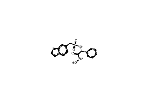 O=C(NO)[C@H](NS(=O)(=O)Cc1ccc2ccsc2c1)c1ccccc1